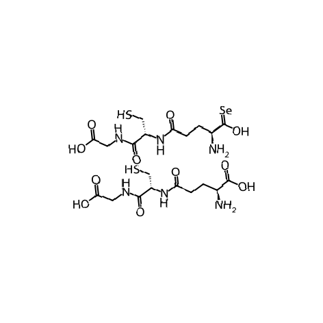 N[C@@H](CCC(=O)N[C@@H](CS)C(=O)NCC(=O)O)C(=O)O.N[C@@H](CCC(=O)N[C@@H](CS)C(=O)NCC(=O)O)C(O)=[Se]